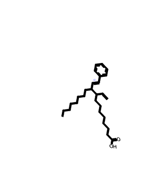 C=CC(CCCCCCCC(=O)O)C(/C=C/c1ccccc1)CCCCCCCC